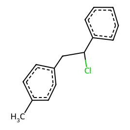 Cc1ccc(CC(Cl)c2ccccc2)cc1